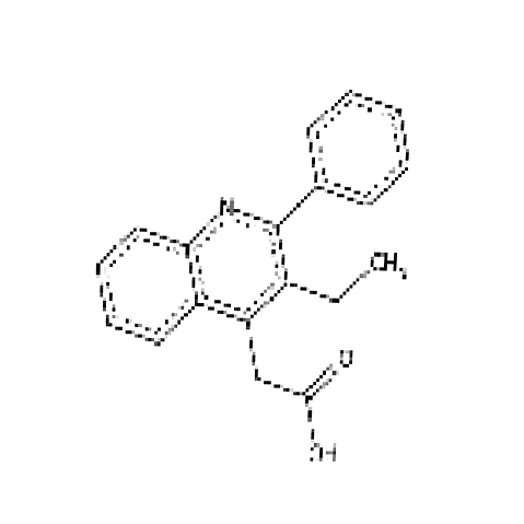 CCc1c(-c2ccccc2)nc2ccccc2c1CC(=O)O